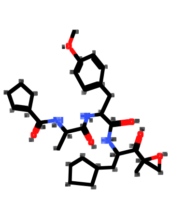 COc1ccc(CC(NC(=O)C(C)NC(=O)C2=CCCC2)C(=O)NC(CC2CCCC2)C(=O)C2(C)CO2)cc1